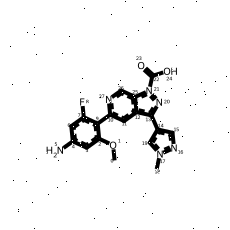 COc1cc(N)cc(F)c1-c1cc2c(-c3cnn(C)c3)nn(C(=O)O)c2cn1